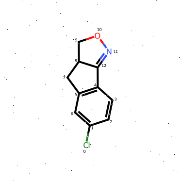 Clc1ccc2c(c1)CC1CON=C21